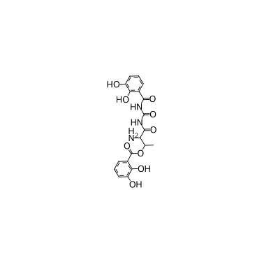 CC(OC(=O)c1cccc(O)c1O)C(N)C(=O)NC(=O)NC(=O)c1cccc(O)c1O